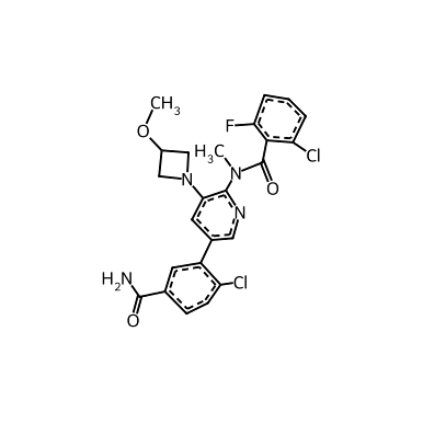 COC1CN(c2cc(-c3cc(C(N)=O)ccc3Cl)cnc2N(C)C(=O)c2c(F)cccc2Cl)C1